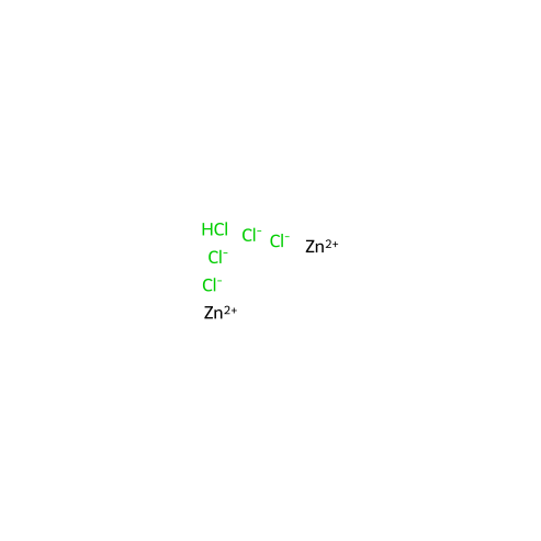 Cl.[Cl-].[Cl-].[Cl-].[Cl-].[Zn+2].[Zn+2]